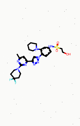 Cc1cc(-c2cn(-c3ccc(NS(=O)(=O)CCO)cc3N3CCCCC3)nn2)nc(N2CCC(F)(F)CC2)n1